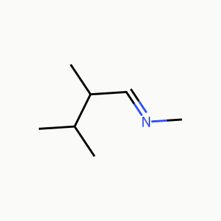 CN=CC(C)C(C)C